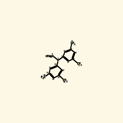 CCCCCCCP(c1cc(C(F)(F)F)cc(C(F)(F)F)c1)c1cc(C(F)(F)F)cc(C(F)(F)F)c1